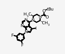 C[C@@H]1CN(c2ncnc3c2c(I)cn3-c2cc(F)cc(F)c2)[C@@H](C)CN1C(=O)OC(C)(C)C